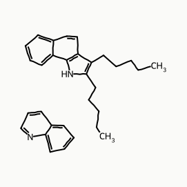 CCCCCc1[nH]c2c(ccc3ccccc32)c1CCCCC.c1ccc2ncccc2c1